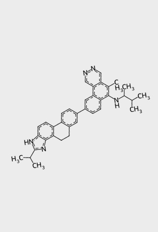 Cc1c(NC(C)C(C)C)c2ccc(-c3ccc4c(c3)CCc3c-4ccc4[nH]c(C(C)C)nc34)cc2c2cnncc12